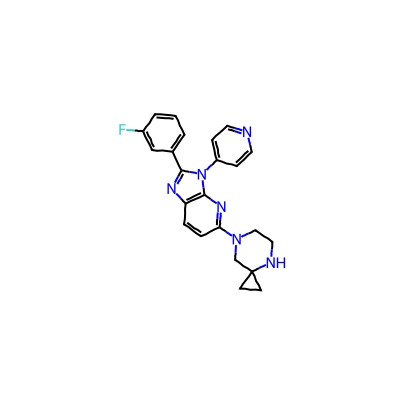 Fc1cccc(-c2nc3ccc(N4CCNC5(CC5)C4)nc3n2-c2ccncc2)c1